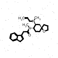 C=CCN(C)[C@H]1C[C@]2(CCCO2)CC[C@@H]1N(C)C(=O)CC1=CCc2ccccc21